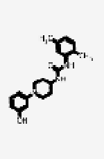 Cc1ccc(C)c(NC(=O)NC2CCN(c3cccc(O)c3)CC2)c1